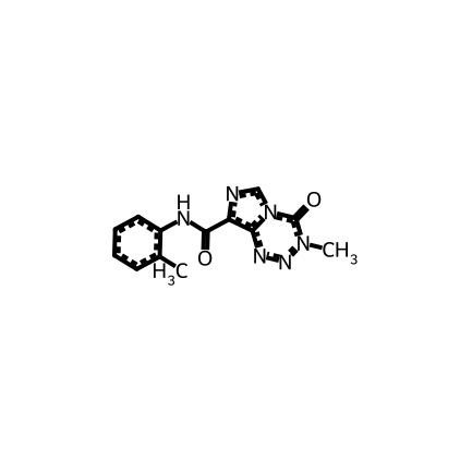 Cc1ccccc1NC(=O)c1ncn2c(=O)n(C)nnc12